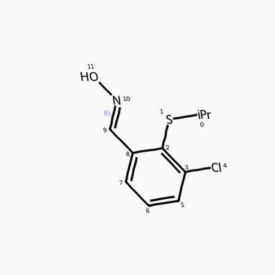 CC(C)Sc1c(Cl)cccc1/C=N/O